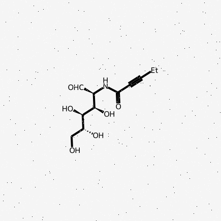 CCC#CC(=O)N[C@H](C=O)[C@@H](O)[C@H](O)[C@H](O)CO